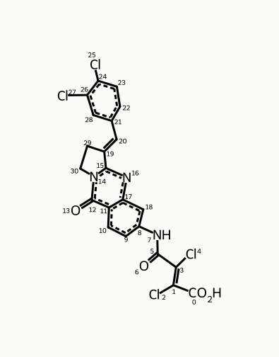 O=C(O)C(Cl)=C(Cl)C(=O)Nc1ccc2c(=O)n3c(nc2c1)C(=Cc1ccc(Cl)c(Cl)c1)CC3